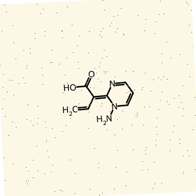 C=C/C(C(=O)O)=C1/N=CC=CN1N